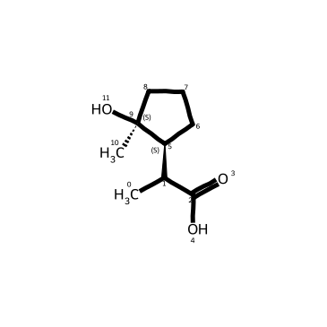 CC(C(=O)O)[C@@H]1CCC[C@]1(C)O